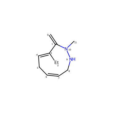 C=C1/C(CC)=C/C/C=C\CNN1C